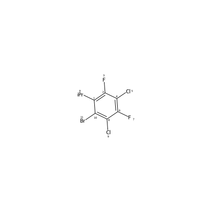 CC(C)c1c(F)c(Cl)c(F)c(Cl)c1Br